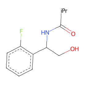 CC(C)C(=O)NC(CO)c1ccccc1F